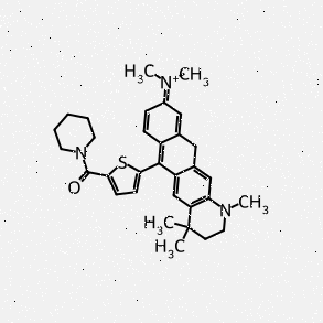 CN1CCC(C)(C)c2cc3c(cc21)CC1=CC(=[N+](C)C)C=CC1=C3c1ccc(C(=O)N2CCCCC2)s1